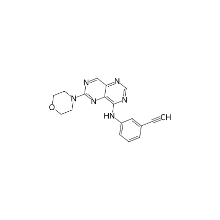 C#Cc1cccc(Nc2ncnc3cnc(N4CCOCC4)nc23)c1